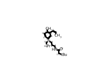 C/C=C\c1cc(N(CCCNC(=O)CC(C)(C)C)CC(C)C)ccc1C